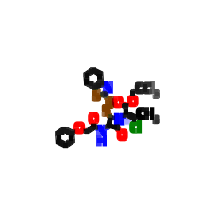 C/C(Cl)=C(\C(=O)OCC(Cl)(Cl)Cl)N1C(=O)C(NC(=O)COc2ccccc2)C1SSc1nc2ccccc2s1